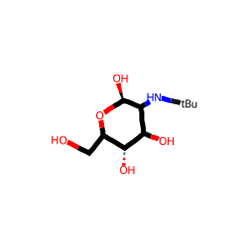 CC(C)(C)NC1C(O)[C@H](O)C(CO)O[C@H]1O